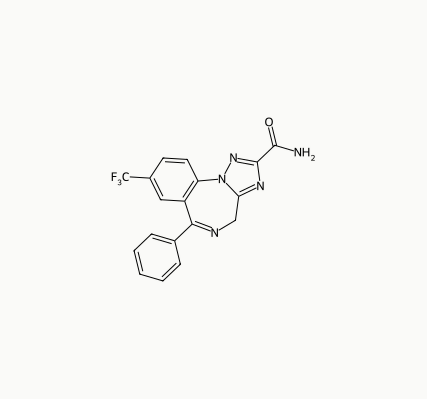 NC(=O)c1nc2n(n1)-c1ccc(C(F)(F)F)cc1C(c1ccccc1)=NC2